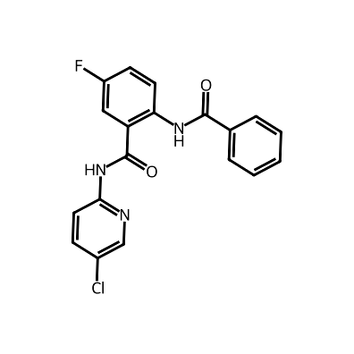 O=C(Nc1ccc(F)cc1C(=O)Nc1ccc(Cl)cn1)c1ccccc1